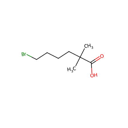 CC(C)(CCCCBr)C(=O)O